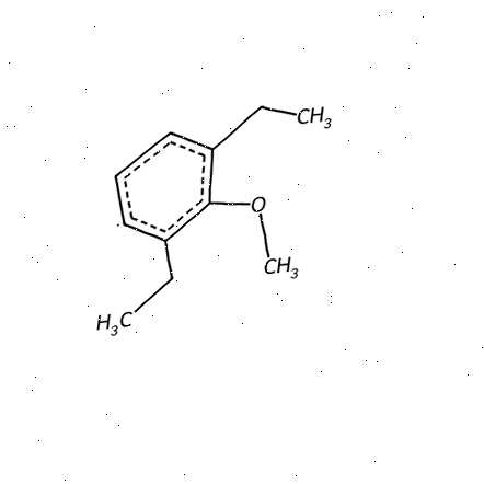 CCc1[c]ccc(CC)c1OC